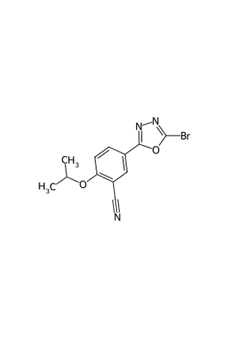 CC(C)Oc1ccc(-c2nnc(Br)o2)cc1C#N